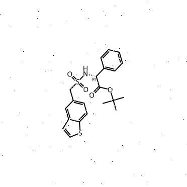 CC(C)(C)OC(=O)[C@H](NS(=O)(=O)Cc1ccc2sccc2c1)c1ccccc1